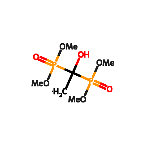 [CH2]C(O)(P(=O)(OC)OC)P(=O)(OC)OC